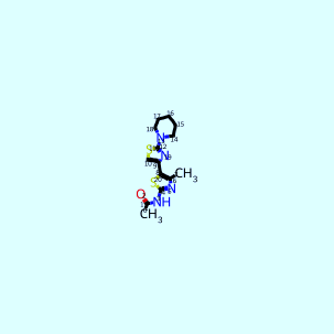 CC(=O)Nc1nc(C)c(-c2csc(N3CCCCC3)n2)s1